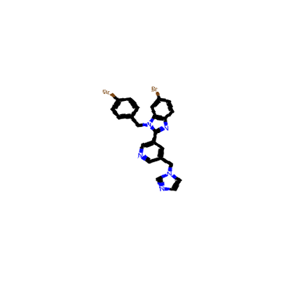 Brc1ccc(Cn2c(-c3cncc(Cn4ccnc4)c3)nc3ccc(Br)cc32)cc1